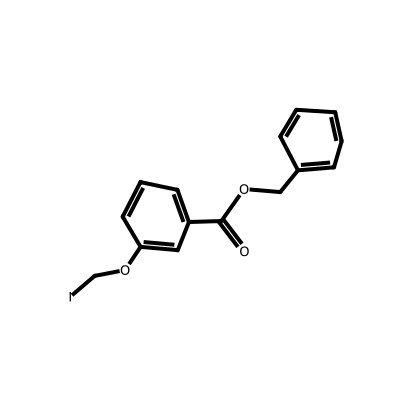 O=C(OCc1ccccc1)c1cccc(OCI)c1